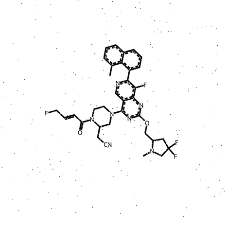 Cc1cccc2cccc(-c3ncc4c(N5CCN(C(=O)/C=C/CF)C(CC#N)C5)nc(OCC5CC(F)(F)CN5C)nc4c3F)c12